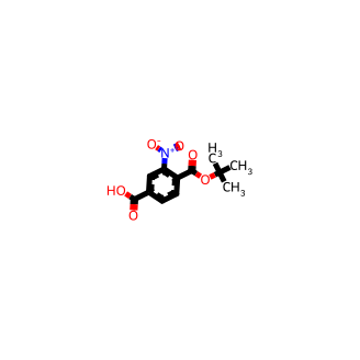 CC(C)(C)OC(=O)c1ccc(C(=O)O)cc1[N+](=O)[O-]